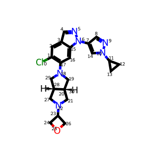 Clc1cc2cnn(-c3cnn(C4CC4)c3)c2cc1N1C[C@@H]2CN(C3COC3)C[C@@H]2C1